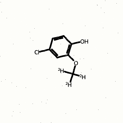 [2H]C([2H])([2H])Oc1cc(Cl)ccc1O